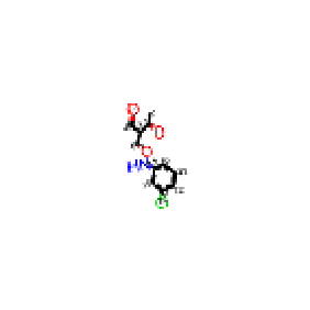 CC(=O)C(C=O)CONc1cccc(Cl)c1